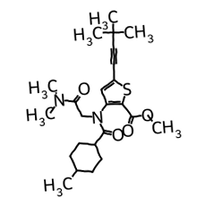 COC(=O)c1sc(C#CC(C)(C)C)cc1N(CC(=O)N(C)C)C(=O)C1CCC(C)CC1